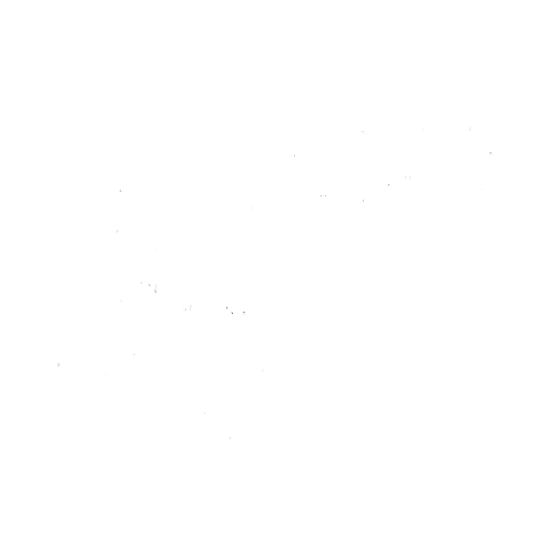 c1ccc(N2c3ccccc3C3c4ccccc4N(c4ccc(-c5ccc6sc7ccccc7c6c5)cc4)C32)cc1